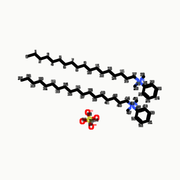 CCCCCCCCCCCCCCCCCC[N+](C)(C)c1ccccc1.CCCCCCCCCCCCCCCCCC[N+](C)(C)c1ccccc1.O=S(=O)([O-])[O-]